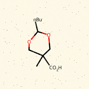 CCCCC1OCC(C)(C(=O)O)CO1